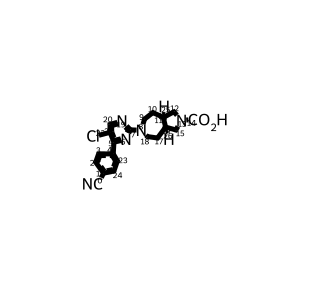 N#Cc1ccc(-c2nc(N3CC[C@@H]4CN(C(=O)O)C[C@@H]4CC3)ncc2Cl)cc1